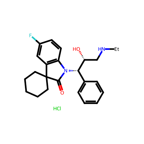 CCNC[C@@H](O)[C@H](c1ccccc1)N1C(=O)C2(CCCCC2)c2cc(F)ccc21.Cl